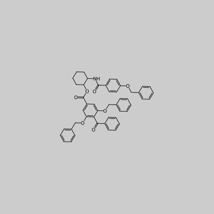 O=C(NC1CCCCC1OC(=O)c1cc(OCc2ccccc2)c(C(=O)c2ccccc2)c(OCc2ccccc2)c1)c1ccc(OCc2ccccc2)cc1